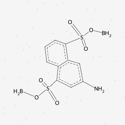 BOS(=O)(=O)c1cc(N)cc2c(S(=O)(=O)OB)cccc12